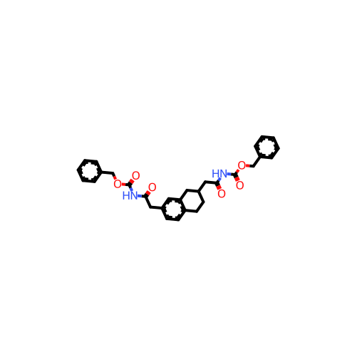 O=C(Cc1ccc2c(c1)CC(CC(=O)NC(=O)OCc1ccccc1)CC2)NC(=O)OCc1ccccc1